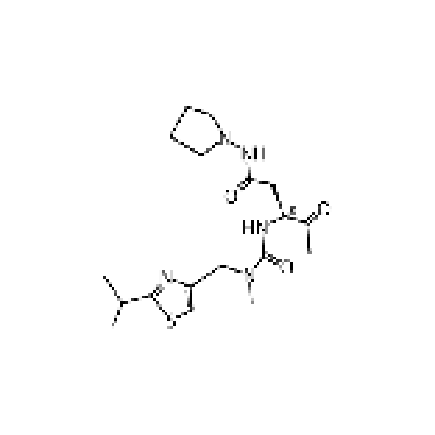 CC(=O)[C@H](CC(=O)NN1CCCC1)NC(=O)N(C)Cc1csc(C(C)C)n1